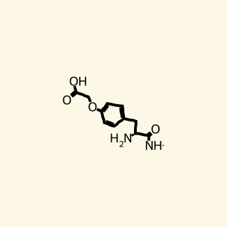 [NH]C(=O)[C@@H](N)Cc1ccc(OCC(=O)O)cc1